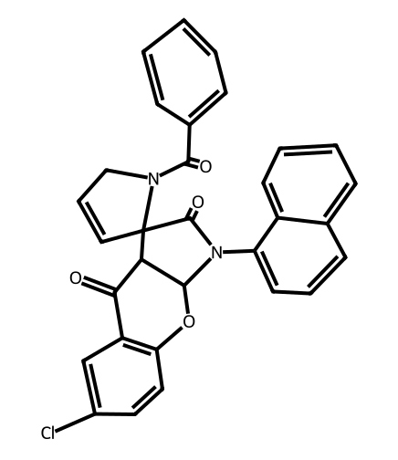 O=C1c2cc(Cl)ccc2OC2C1C1(C=CCN1C(=O)c1ccccc1)C(=O)N2c1cccc2ccccc12